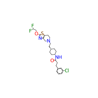 O=C(CCc1cccc(Cl)c1)N[C@H]1CC[C@H](CCN2CCc3sc(OCC(F)F)nc3C2)CC1